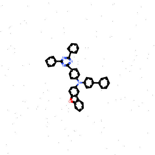 c1ccc(-c2ccc(N(c3ccc(-c4nc(-c5ccccc5)nc(-c5ccccc5)n4)cc3)c3ccc4oc5ccccc5c4c3)cc2)cc1